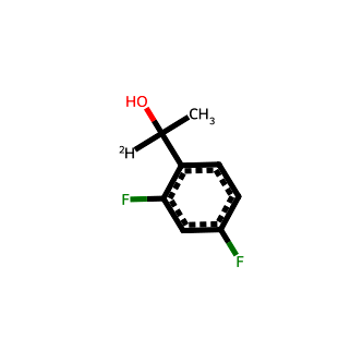 [2H]C(C)(O)c1ccc(F)cc1F